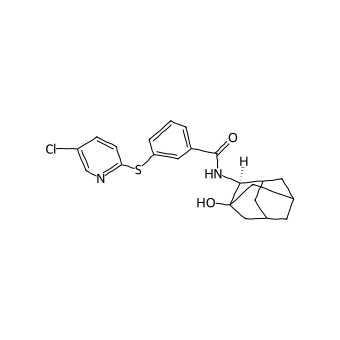 O=C(N[C@H]1C2CC3CC(C2)CC1(O)C3)c1cccc(Sc2ccc(Cl)cn2)c1